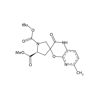 COC(=O)[C@@H]1CC2(CN1C(=O)OC(C)(C)C)Oc1nc(C)ccc1NC2=O